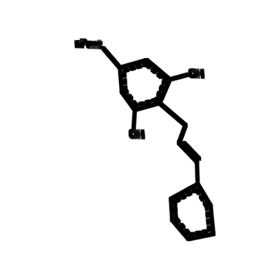 CCCCCc1cc(O)c(C/C=C/c2ccccc2)c(O)c1